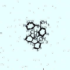 CC1C=CC=C2C3C=CC=CC3(C)N(c3cccc(N(C)c4ccccc4)c3)[C@H]21